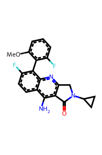 COc1cccc(F)c1-c1c(F)ccc2c(N)c3c(nc12)CN(C1CC1)C3=O